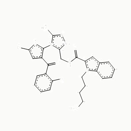 CCc1cc(C(=O)c2ccccc2Cl)c(-n2c(C)nnc2CNC(=O)c2cc3ccccc3n2CCCCC(=O)O)s1